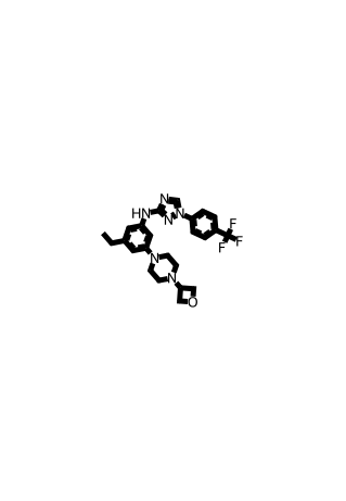 CCc1cc(Nc2ncn(-c3ccc(C(F)(F)F)cc3)n2)cc(N2CCN(C3COC3)CC2)c1